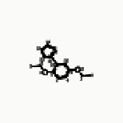 CCOc1ccc(OCC)c(-c2cccs2)c1